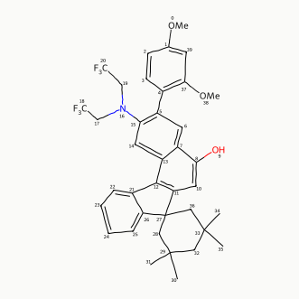 COc1ccc(-c2cc3c(O)cc4c(c3cc2N(CC(F)(F)F)CC(F)(F)F)-c2ccccc2C42CC(C)(C)CC(C)(C)C2)c(OC)c1